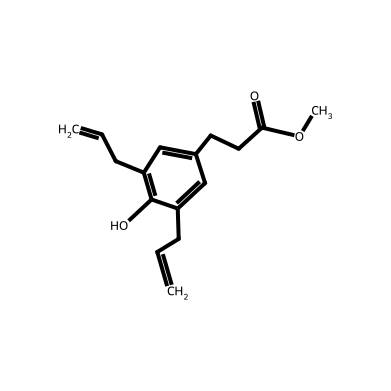 C=CCc1cc(CCC(=O)OC)cc(CC=C)c1O